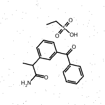 CC(C(N)=O)c1cccc(C(=O)c2ccccc2)c1.CCS(=O)(=O)O